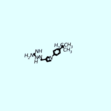 CC(C)(C)c1ccc(-n2ccc(C=NNC(=N)N)c2)cc1